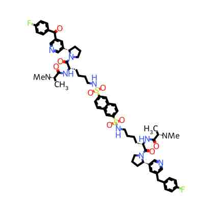 CN[C@@H](C)C(=O)N[C@@H](CCCCNS(=O)(=O)c1ccc2cc(S(=O)(=O)NCCCC[C@H](NC(=O)[C@H](C)NC)C(=O)N3CCC[C@H]3c3cncc(C(=O)c4ccc(F)cc4)c3)ccc2c1)C(=O)N1CCC[C@H]1c1cncc(Cc2ccc(F)cc2)c1